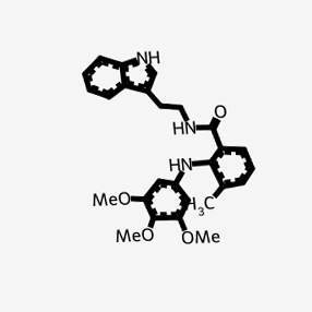 COc1cc(Nc2c(C)cccc2C(=O)NCCc2c[nH]c3ccccc23)cc(OC)c1OC